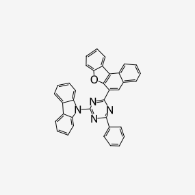 c1ccc(-c2nc(-c3cc4ccccc4c4c3oc3ccccc34)nc(-n3c4ccccc4c4ccccc43)n2)cc1